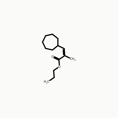 CCCOC(=O)C(C)=CC1CCCCCC1